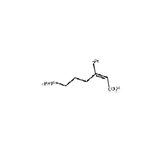 CCCCCCCCCC/C(=C\C(=O)O)CCC